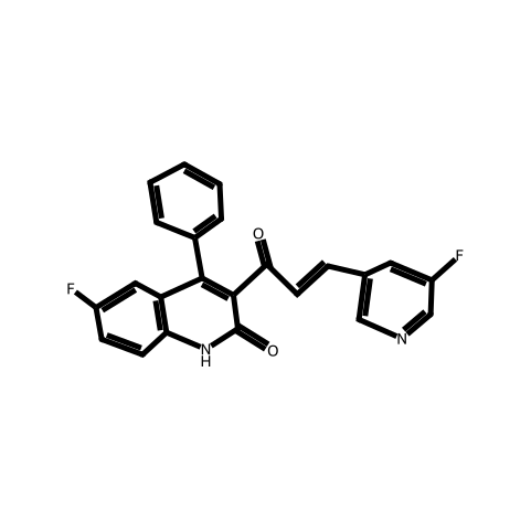 O=C(/C=C/c1cncc(F)c1)c1c(-c2ccccc2)c2cc(F)ccc2[nH]c1=O